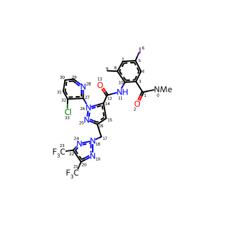 CNC(=O)c1cc(I)cc(C)c1NC(=O)c1cc(Cn2nc(C(F)(F)F)c(C(F)(F)F)n2)nn1-c1ncccc1Cl